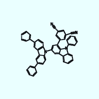 N#Cc1cc(C#N)cc(-c2cc(-n3c4ccc(-c5ccccc5)cc4c4cc(-c5ccccc5)ccc43)cc3c4ccccc4n(-c4ccccc4)c23)c1